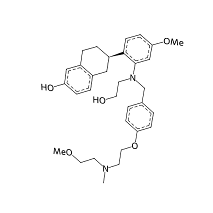 COCCN(C)CCOc1ccc(CN(CCO)c2cc(OC)ccc2[C@@H]2CCc3cc(O)ccc3C2)cc1